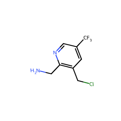 NCc1ncc(C(F)(F)F)cc1CCl